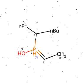 C/C=[PH](/O)C(CCC)CCCC